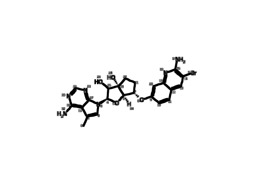 Cc1cn([C@@H]2O[C@@H]3[C@@H](Oc4ccc5cc(Br)c(N)nc5c4)CC[C@]3(O)C2O)c2ncnc(N)c12